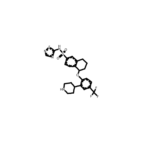 O=S(=O)(Nc1ncns1)c1ccc2c(c1)CCCC2Oc1ccc(C(F)(F)F)cc1C1CCNCC1